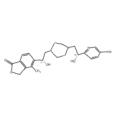 Cc1c([C@@H](O)CN2CCN(C[C@@H](O)c3ccc(C#N)cn3)CC2)ccc2c1COC2=O